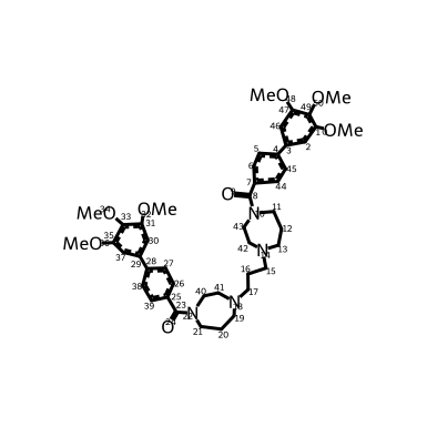 COc1cc(-c2ccc(C(=O)N3CCCN(CCCN4CCCN(C(=O)c5ccc(-c6cc(OC)c(OC)c(OC)c6)cc5)CC4)CC3)cc2)cc(OC)c1OC